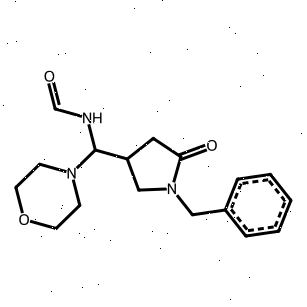 O=CNC(C1CC(=O)N(Cc2ccccc2)C1)N1CCOCC1